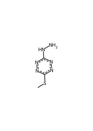 CSc1nnc(NN)nn1